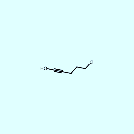 OC#CCCCCl